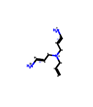 C=CCN(C/C=C/N)C/C=C/N